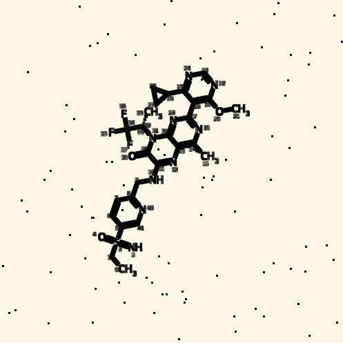 CCS(=N)(=O)c1ccc(CNc2nc3c(C)nc(-c4c(OC)ncnc4C4CC4)nc3n([C@@H](C)C(F)(F)F)c2=O)nc1